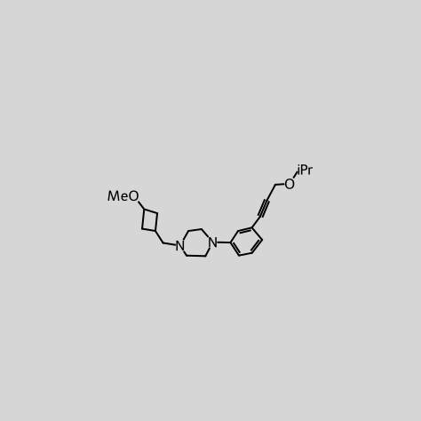 COC1CC(CN2CCN(c3cccc(C#CCOC(C)C)c3)CC2)C1